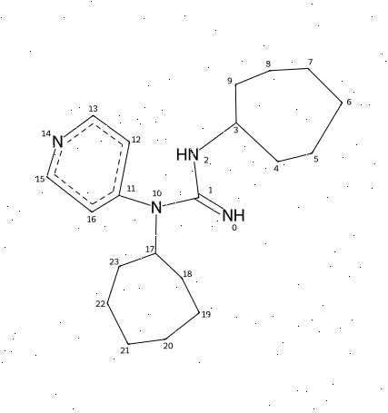 N=C(NC1CCCCCC1)N(c1ccncc1)C1CCCCCC1